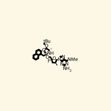 CNc1nc(N)nc2c1ncn2[C@@H]1O[C@](F)(COP(=S)(Cc2cccc3ccccc23)N[C@@H](C)C(=O)OCC(C)(C)C)C[C@@H]1C